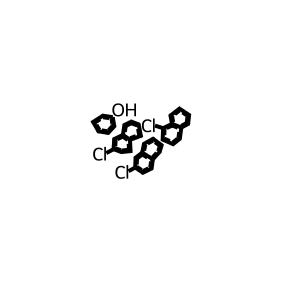 Clc1ccc2ccccc2c1.Clc1ccc2ccccc2c1.Clc1cccc2ccccc12.Oc1ccccc1